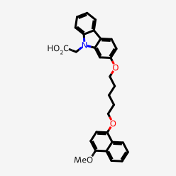 COc1ccc(OCCCCCOc2ccc3c4ccccc4n(CC(=O)O)c3c2)c2ccccc12